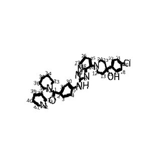 O=C(c1ccc(Nc2nc3c(N4CCC(O)(c5ccc(Cl)cc5)CC4)cccn3n2)cc1)N1CCCC[C@H]1c1cccnc1